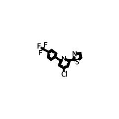 FC(F)(F)c1ccc(-c2cc(Cl)cc(-c3nccs3)n2)cc1